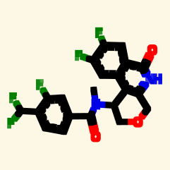 CN(C(=O)c1ccc(C(F)F)c(F)c1)C1COCc2[nH]c(=O)c3cc(F)c(F)cc3c21